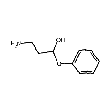 NCCC(O)Oc1cc[c]cc1